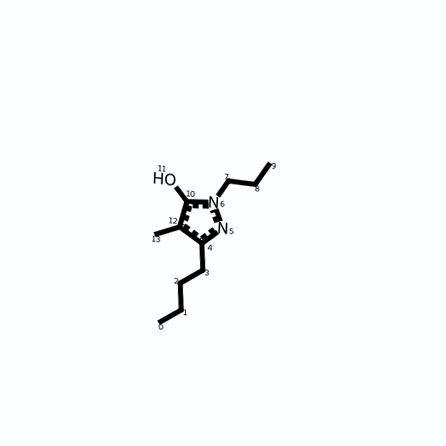 CCCCc1nn(CCC)c(O)c1C